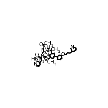 CC(=O)NCCCN(C(=O)Nc1c(C(C)C)cc(-c2cccc(OCCCc3cccnc3)c2)cc1C(C)C)c1cc2cccnc2[nH]c1=O